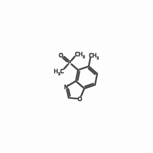 Cc1ccc2ocnc2c1P(C)(C)=O